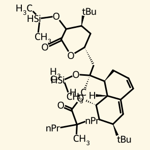 CCCC(C)(CCC)C(=O)O[C@H]1C[C@H](C(C)(C)C)C=C2C=CC[C@H]([C@](C)(C[C@H]3C[C@H](C(C)(C)C)C(O[SiH](C)C)C(=O)O3)O[SiH](C)C)[C@H]21